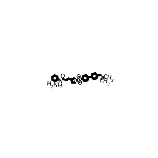 CN(C)Cc1ccc(-c2ccc(S(=O)(=O)n3ccc(/C=C/C(=O)Nc4ccccc4N)c3)cc2)cc1